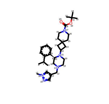 CC(C)c1ccccc1[C@@H]1CN(Cc2cnn(C)c2)CCN1C1CC2(CCN(C(=O)OC(C)(C)C)CC2)C1